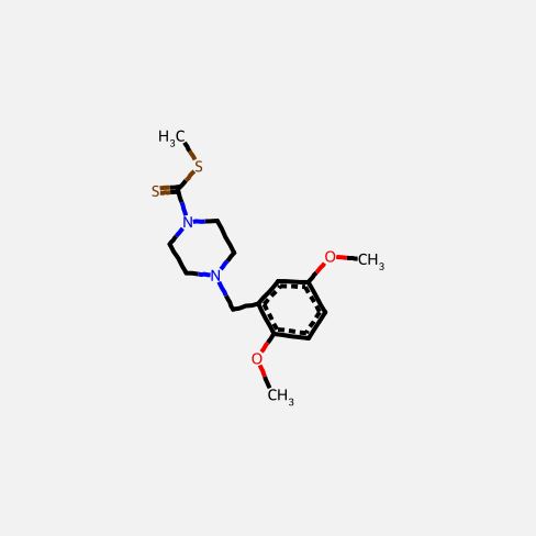 COc1ccc(OC)c(CN2CCN(C(=S)SC)CC2)c1